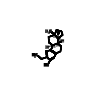 CCc1cc2c(cc1O)CC[C@@H]1[C@@H]2CC[C@]2(C)CCC[C@@H]12